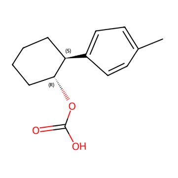 Cc1ccc([C@@H]2CCCC[C@H]2OC(=O)O)cc1